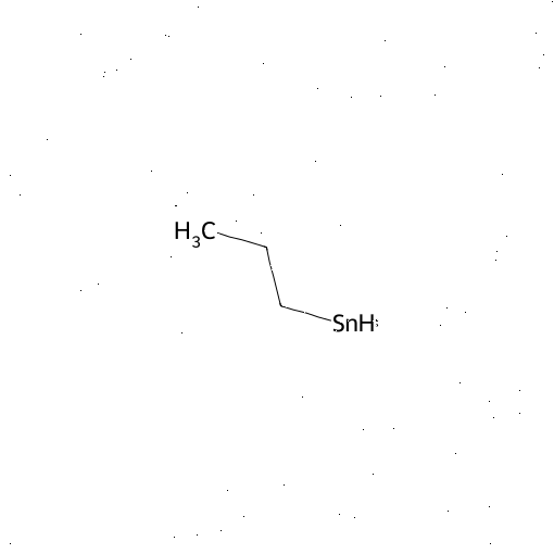 CC[CH2][SnH]